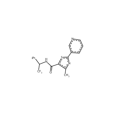 Cc1nc(-c2cccnc2)sc1C(=O)NC(C(C)C)C(F)(F)F